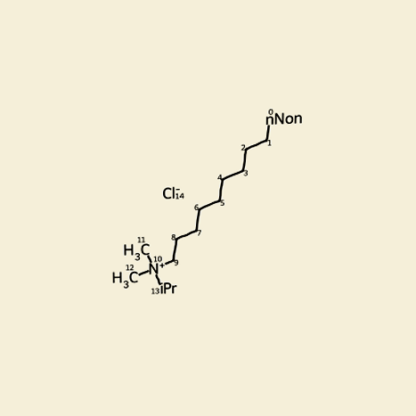 CCCCCCCCCCCCCCCCCC[N+](C)(C)C(C)C.[Cl-]